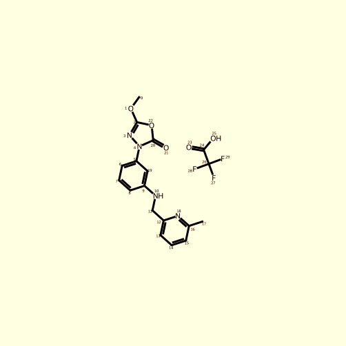 COc1nn(-c2cccc(NCc3cccc(C)n3)c2)c(=O)o1.O=C(O)C(F)(F)F